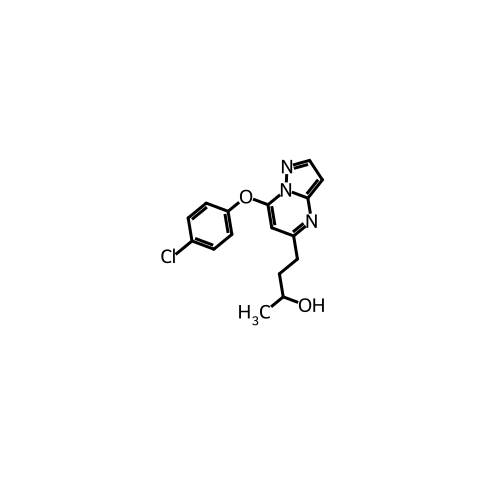 CC(O)CCc1cc(Oc2ccc(Cl)cc2)n2nccc2n1